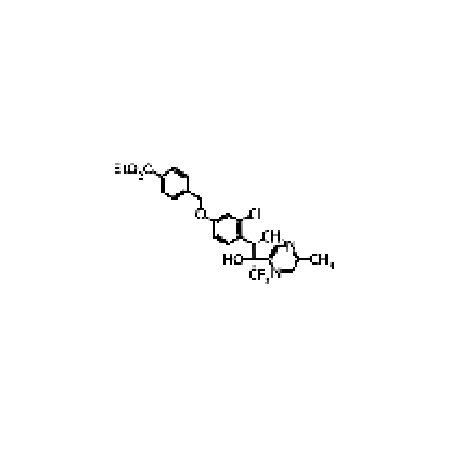 CCOC(=O)c1ccc(COc2ccc([C@H](C)[C@](O)(c3cnc(C)cn3)C(F)(F)F)c(Cl)c2)cc1